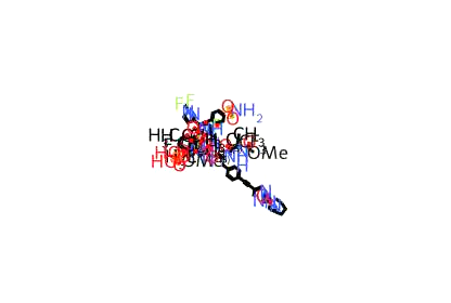 COC(=O)N[C@H](C(=O)N[C@@H](Cc1ccc(C#Cc2cnc(N3CC4CCC(C3)N4C3COC3)nc2)cc1)[C@H](CN(Cc1c(F)cc(-c2ccn(C(F)F)n2)cc1F)NC(=O)[C@@H](NC(=O)OC)C(C)(C)C(F)(F)F)OC(=O)CC(C)(C)c1c(CC(=O)NCc2ccc(S(N)(=O)=O)cc2)cc(C)cc1OP(=O)(O)O)C(C)(C)C(F)(F)F